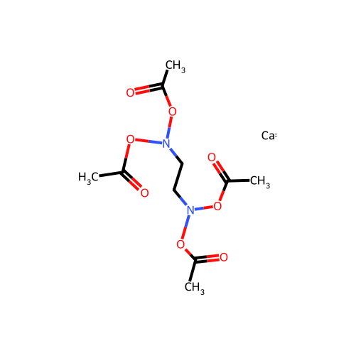 CC(=O)ON(CCN(OC(C)=O)OC(C)=O)OC(C)=O.[Ca]